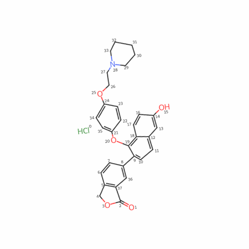 Cl.O=C1OCc2ccc(-c3ccc4cc(O)ccc4c3Oc3ccc(OCCN4CCCCC4)cc3)cc21